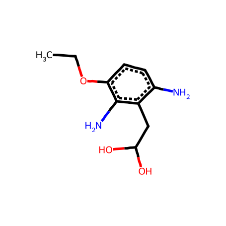 CCOc1ccc(N)c(CC(O)O)c1N